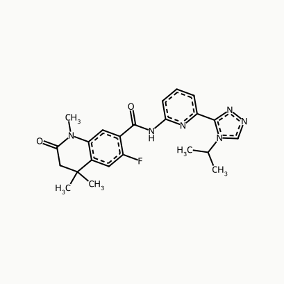 CC(C)n1cnnc1-c1cccc(NC(=O)c2cc3c(cc2F)C(C)(C)CC(=O)N3C)n1